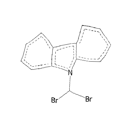 BrC(Br)n1c2ccccc2c2ccccc21